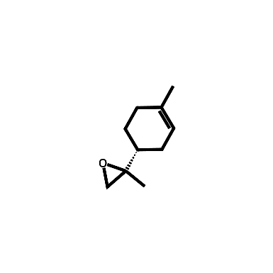 CC1=CC[C@H](C2(C)CO2)CC1